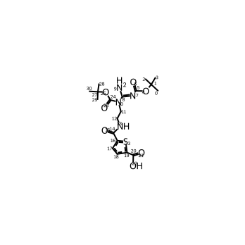 CC(C)(C)OC(=O)N=C(N)N(CCNC(=O)c1ccc(C(=O)O)s1)C(=O)OC(C)(C)C